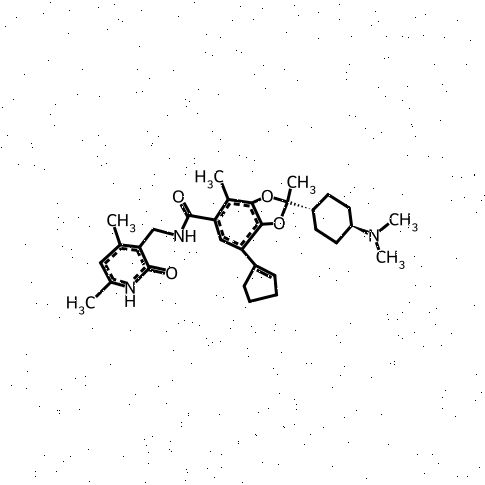 Cc1cc(C)c(CNC(=O)c2cc(C3=CCCC3)c3c(c2C)OC(C)([C@H]2CC[C@H](N(C)C)CC2)O3)c(=O)[nH]1